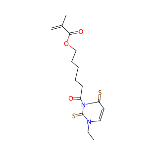 C=C(C)C(=O)OCCCCCC(=O)n1c(=S)ccn(CC)c1=S